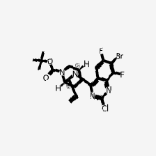 C=CC1[C@@H]2CC[C@@H](CN2C(=O)OC(C)(C)C)N1c1nc(Cl)nc2c(F)c(Br)c(F)cc12